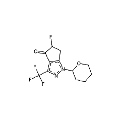 O=C1c2c(C(F)(F)F)nn(C3CCCCO3)c2CC1F